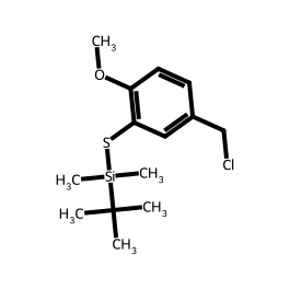 COc1ccc(CCl)cc1S[Si](C)(C)C(C)(C)C